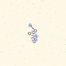 CC(NC(=O)c1c(N)nn2cccnc12)c1cc2cccc(C#Cc3cnn(C)c3)c2nc1-c1ccccc1